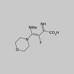 CN/C(=C(/F)C(=N)C(=O)O)N1CCOCC1